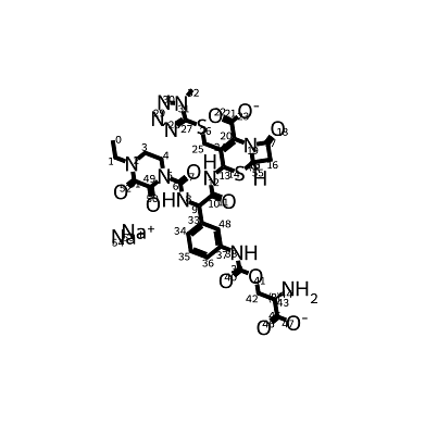 CCN1CCN(C(=O)NC(C(=O)NC2S[C@H]3CC(=O)N3C(C(=O)[O-])=C2CSc2nnnn2C)c2cccc(NC(=O)OC[C@@H](N)C(=O)[O-])c2)C(=O)C1=O.[Na+].[Na+]